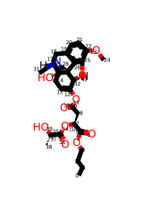 CCCCOC(=O)[C@H](CC(=O)OC1=CC[C@@]2(O)[C@H]3Cc4ccc(OC)c5c4[C@@]2(CCN3C)[C@H]1O5)OC(=O)[C@H](C)O